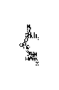 C[C@]12C=CC(=O)C=C1CC[C@@H]1C2[C@@H](O)C[C@@]2(C)C1CC[C@@H]2C(=O)COC(=O)C1CC1C(=O)OCc1ccc(C(CN)C(=O)Nc2ccc3cnccc3c2)cc1